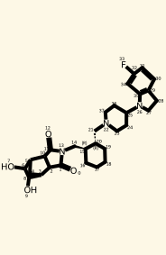 O=C1C2C3CC(C(O)C3O)C2C(=O)N1C[C@@H]1CCCC[C@H]1CN1CCC(N2CCc3ccc(F)cc32)CC1